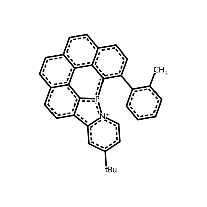 Cc1ccccc1-c1ccc2ccc3ccc4ccc5c6cc(C(C)(C)C)cc[n+]6p6c1c2c3c4c56